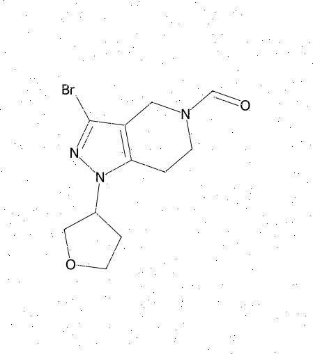 O=CN1CCc2c(c(Br)nn2C2CCOC2)C1